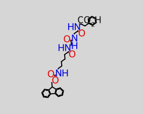 O=C(CCCCCNC(=O)OCC1c2ccccc2-c2ccccc21)NCC(=O)NCC(=O)NC(Cc1ccccc1)C(=O)O